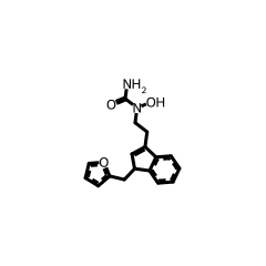 NC(=O)N(O)CCC1=CC(Cc2ccco2)c2ccccc21